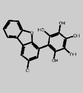 Oc1c(O)c(O)c(-c2cc(Cl)cc3c2oc2ccccc23)c(O)c1O